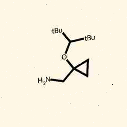 CC(C)(C)C(OC1(CN)CC1)C(C)(C)C